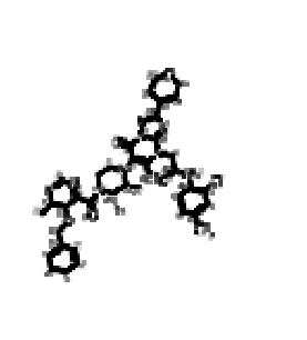 CCc1c(N2CCN(C(=O)c3ncnc(C)c3OCc3ccccc3)[C@@H](C)[C@@H]2C)c(=O)n2nc(C3=CCOCC3)nc2n1CC(=O)Nc1ccc(C(F)(F)F)cc1Cl